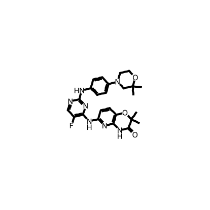 CC1(C)CN(c2ccc(Nc3ncc(F)c(Nc4ccc5c(n4)NC(=O)C(C)(C)O5)n3)cc2)CCO1